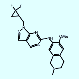 COc1cc2c(cc1Nc1ncc3cnn(CC4CC4(F)F)c3n1)CN(C)CC2